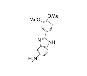 COc1ccc(-c2nc3cc(N)ccc3[nH]2)cc1OC